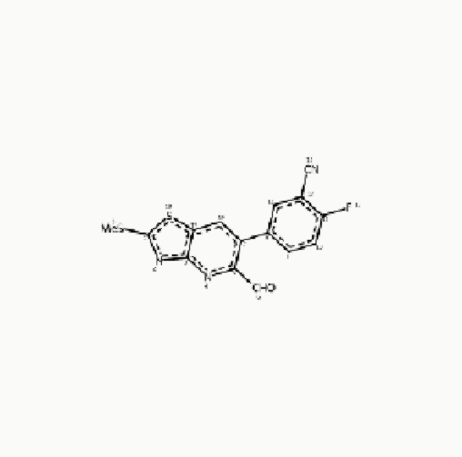 CSc1nc2nc(C=O)c(-c3ccc(F)c(C#N)c3)cc2s1